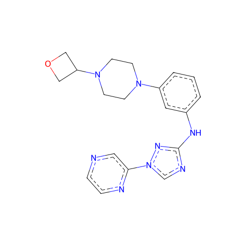 c1cc(Nc2ncn(-c3cnccn3)n2)cc(N2CCN(C3COC3)CC2)c1